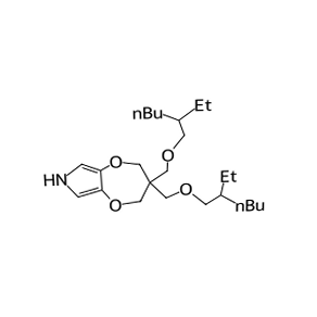 CCCCC(CC)COCC1(COCC(CC)CCCC)COc2c[nH]cc2OC1